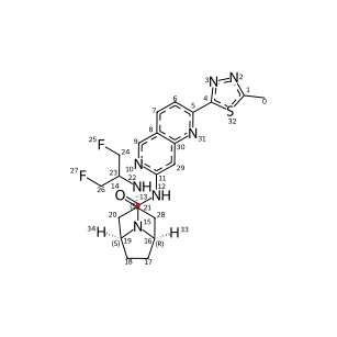 Cc1nnc(-c2ccc3cnc(NC(=O)N4[C@@H]5CC[C@H]4C[C@H](NC(CF)CF)C5)cc3n2)s1